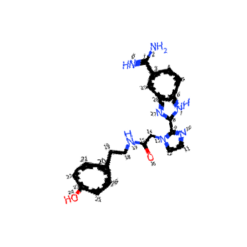 N=C(N)c1ccc2[nH]c(-c3nccn3CC(=O)NCCc3ccc(O)cc3)nc2c1